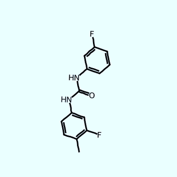 Cc1ccc(NC(=O)Nc2cccc(F)c2)cc1F